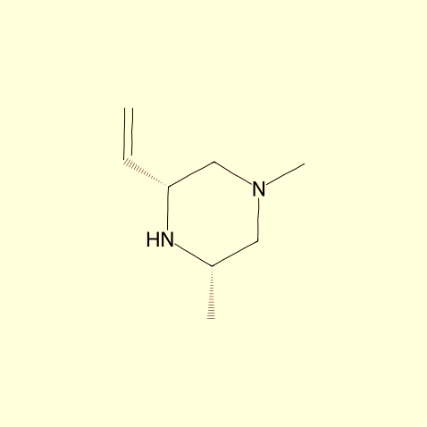 C=C[C@@H]1CN(C)C[C@H](C)N1